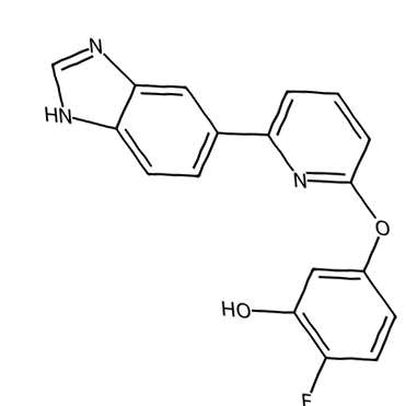 Oc1cc(Oc2cccc(-c3ccc4[nH]cnc4c3)n2)ccc1F